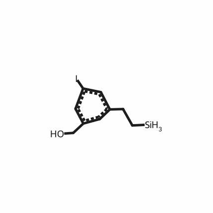 OCc1cc(I)cc(CC[SiH3])c1